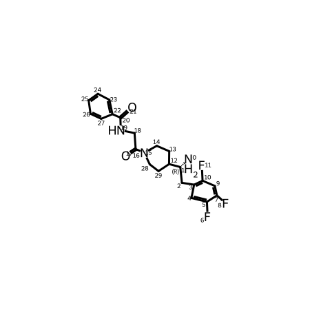 N[C@H](Cc1cc(F)c(F)cc1F)C1CCN(C(=O)CNC(=O)c2ccccc2)CC1